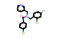 O=C(c1ccc(Cl)cc1)N(Cc1cccnc1)Cc1ccc(Cl)cc1Cl